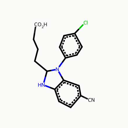 N#Cc1ccc2c(c1)N(c1ccc(Cl)cc1)C(CCCC(=O)O)N2